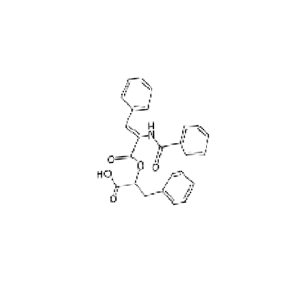 O=C(OC(Cc1ccccc1)C(=O)O)C(=Cc1ccccc1)NC(=O)c1ccccc1